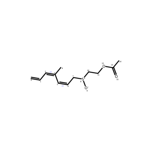 C=C/C=C(C)\C=C/C[S+]([O-])CCOC(C)=O